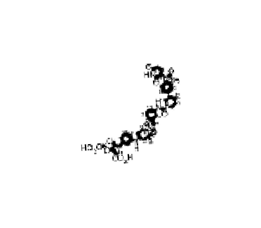 Cn1c(=O)n(C2CCC(=O)NC2=O)c2ccc([C@H]3CN(C(=O)Nc4cccc(CS(=O)(=O)N5CCC(Nc6cccc(-c7sc(C(=O)O)c(OCC(=O)O)c7Cl)c6)CC5(C)C)c4)CC[C@@H]3F)cc21